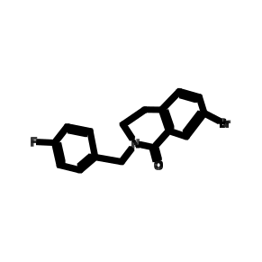 O=C1c2cc(Br)ccc2CCN1Cc1ccc(F)cc1